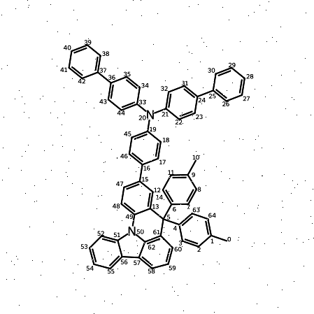 Cc1ccc(C2(c3ccc(C)cc3)c3cc(-c4ccc(N(c5ccc(-c6ccccc6)cc5)c5ccc(-c6ccccc6)cc5)cc4)ccc3-n3c4ccccc4c4cccc2c43)cc1